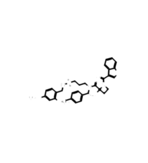 CCC1(C(=O)N(CCCS(=O)(=O)NCc2ccc(OC)cc2OC)[C@@H](C)c2ccc(Cl)cc2)CCN1C(=O)c1csc2ccccc12